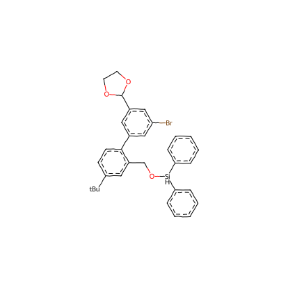 CC(C)(C)c1ccc(-c2cc(Br)cc(C3OCCO3)c2)c(CO[SiH](c2ccccc2)c2ccccc2)c1